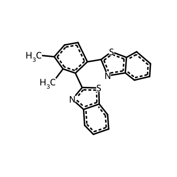 Cc1ccc(-c2nc3ccccc3s2)c(-c2nc3ccccc3s2)c1C